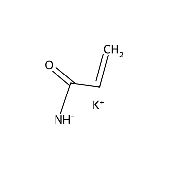 C=CC([NH-])=O.[K+]